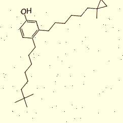 CC(C)(C)CCCCCCc1ccc(O)cc1CCCCCCC1(C)CC1